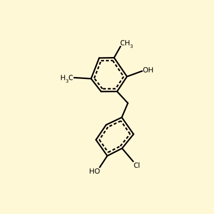 Cc1cc(C)c(O)c(Cc2ccc(O)c(Cl)c2)c1